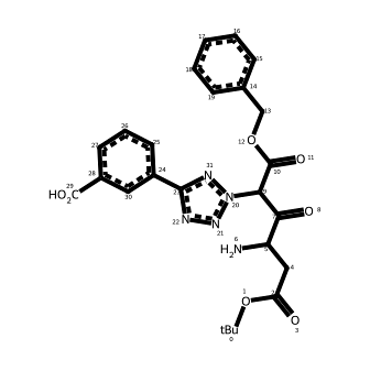 CC(C)(C)OC(=O)CC(N)C(=O)C(C(=O)OCc1ccccc1)n1nnc(-c2cccc(C(=O)O)c2)n1